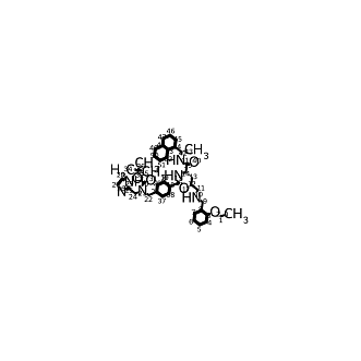 CCOc1ccccc1CNCCC[C@H](NC(=O)c1ccc(CN(Cc2ncc[nH]2)C(=O)OC(C)(C)C)cc1)C(=O)N[C@@H](C)c1cccc2ccccc12